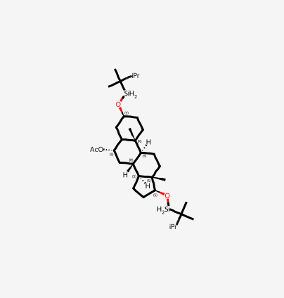 CC(=O)O[C@H]1C[C@H]2[C@@H]3CC[C@H](O[SiH2]C(C)(C)C(C)C)[C@@]3(C)CC[C@@H]2[C@@]2(C)CC[C@H](O[SiH2]C(C)(C)C(C)C)CC12